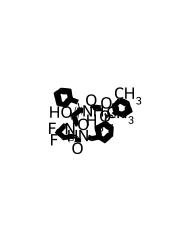 COc1cccc(CNC(=O)[C@@H]2CC(F)(F)CN2C(=O)[C@@H](O)[C@H](Cc2ccccc2)NC(=O)COc2c(C)cccc2C)c1